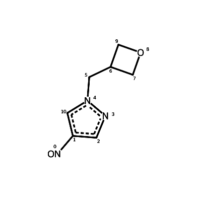 O=Nc1cnn(CC2COC2)c1